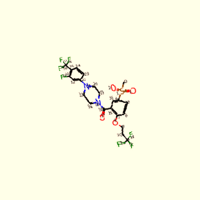 CS(=O)(=O)c1ccc(OCCC(F)(F)F)c(C(=O)N2CCN(c3ccc(C(F)(F)F)c(F)c3)CC2)c1